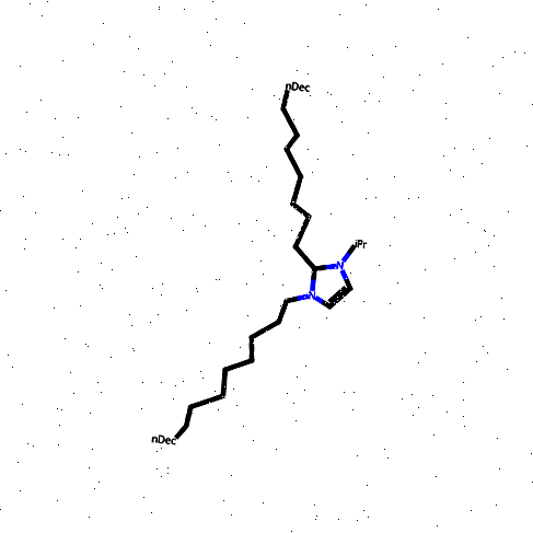 CCCCCCCCCCCCCCCCCCN1C=CN(C(C)C)C1CCCCCCCCCCCCCCCCC